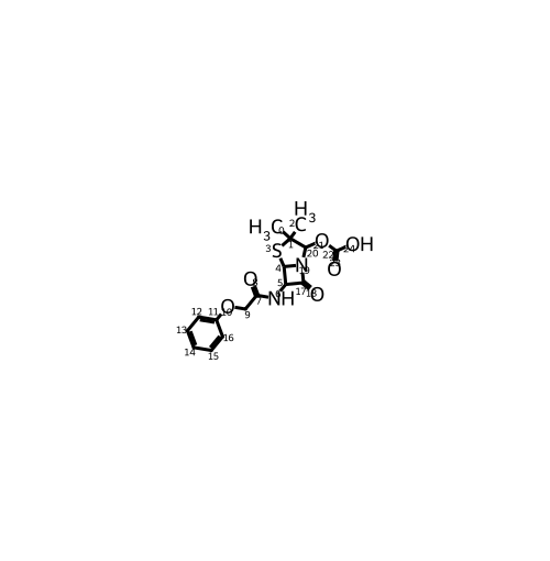 CC1(C)SC2C(NC(=O)COc3ccccc3)C(=O)N2C1OC(=O)O